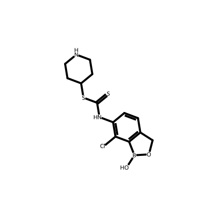 OB1OCc2ccc(NC(=S)SC3CCNCC3)c(Cl)c21